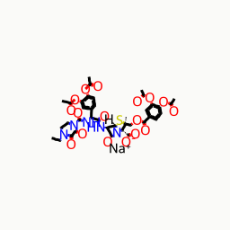 CCN1CCN(C(=O)NC(C(=O)N[C@@H]2C(=O)N3[C@@H]2S[C@@](C)(COC(=O)c2ccc(OC(C)=O)c(OC(C)=O)c2)[C@@H]3C(=O)[O-])c2ccc(OC(C)=O)c(OC(C)=O)c2)C(=O)C1=O.[Na+]